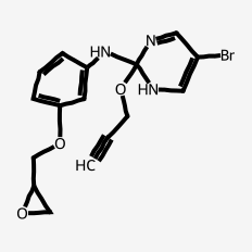 C#CCOC1(Nc2cccc(OCC3CO3)c2)N=CC(Br)=CN1